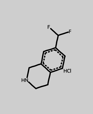 Cl.FC(F)c1ccc2c(c1)CNCC2